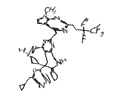 Cn1ccc2c(-c3nc(N)c4c(n3)NC(=O)C4(c3nnc(C4CC4)o3)C3CC3)nc(CCC(F)(F)C(F)(F)F)nc21